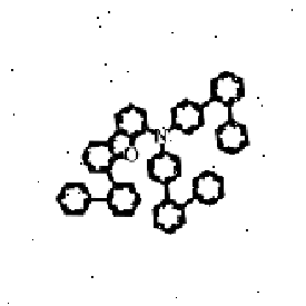 c1ccc(-c2ccccc2-c2ccc(N(c3ccc(-c4ccccc4-c4ccccc4)cc3)c3cccc4c3oc3c(-c5ccccc5-c5ccccc5)cccc34)cc2)cc1